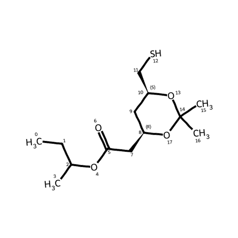 CCC(C)OC(=O)C[C@H]1C[C@@H](CS)OC(C)(C)O1